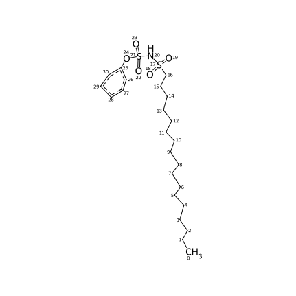 CCCCCCCCCCCCCCCCCS(=O)(=O)NS(=O)(=O)Oc1ccccc1